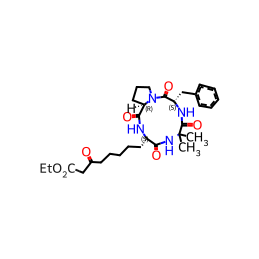 CCOC(=O)CC(=O)CCCCC[C@@H]1NC(=O)[C@H]2CCCN2C(=O)[C@H](Cc2ccccc2)NC(=O)C(C)(C)NC1=O